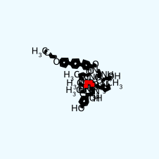 CCCCCOc1ccc(-c2ccc(-c3ccc(C(=O)NCC(=O)NC(C(=O)N4CCCC4C(=O)NC(C(=O)NC(CC)C(=O)N4C[C@H](C)CC4C(=O)NC(CC)NCC[N+](C)(C)C)[C@H](O)Cc4ccc(O)cc4)[C@@H](C)O)cc3)cc2)cc1